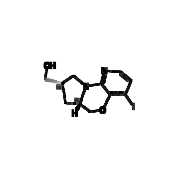 OC[C@H]1C[C@H]2COc3c(I)ccnc3N2C1